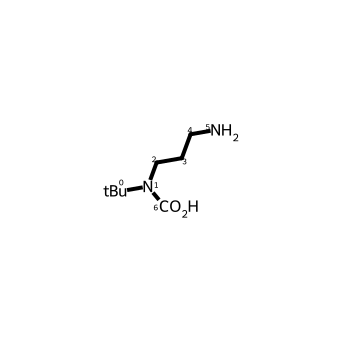 CC(C)(C)N(CCCN)C(=O)O